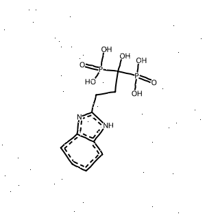 O=P(O)(O)C(O)(CCc1nc2ccccc2[nH]1)P(=O)(O)O